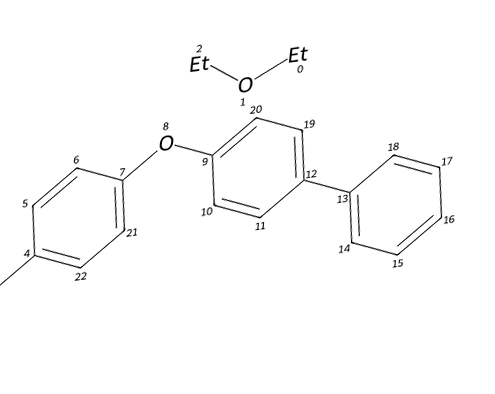 CCOCC.Cc1ccc(Oc2ccc(-c3ccccc3)cc2)cc1